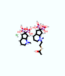 CC(=O)SCC[N+]1(C)CCCC2CC(P(=O)(O)O)(P(=O)(O)O)CC21.CN1CCCC2CC(P(=O)(O)O)(P(=O)(O)O)CC21.[Br-]